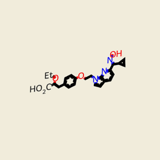 CCOC(Cc1ccc(OCCn2ccc3ccc(C(=NO)C4CC4)nc32)cc1)C(=O)O